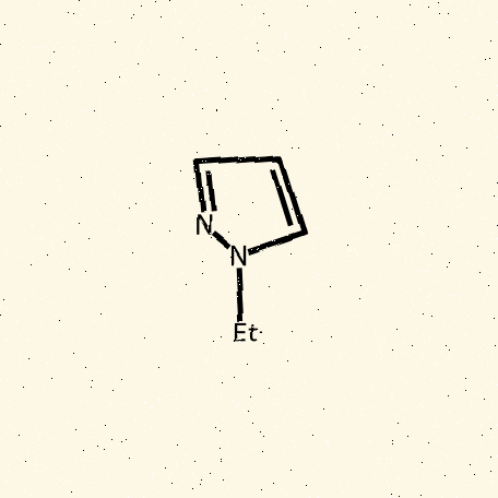 C[CH]n1cccn1